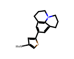 CNc1csc(-c2cc3c4c(c2)CCCN4CCC3)c1